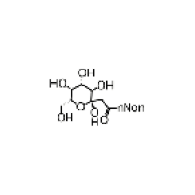 CCCCCCCCCC(=O)C[C@]1(O)O[C@H](CO)[C@@H](O)[C@H](O)[C@H]1O